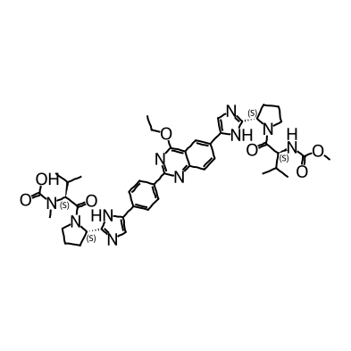 CCOc1nc(-c2ccc(-c3cnc([C@@H]4CCCN4C(=O)[C@H](C(C)C)N(C)C(=O)O)[nH]3)cc2)nc2ccc(-c3cnc([C@@H]4CCCN4C(=O)[C@@H](NC(=O)OC)C(C)C)[nH]3)cc12